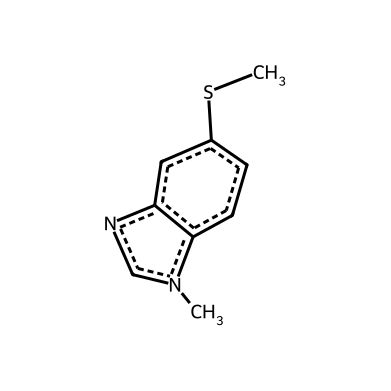 CSc1ccc2c(c1)ncn2C